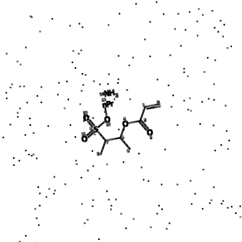 C=CC(=O)OC(C)C(C)S(=O)(=O)OCCC.N